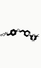 CON=Cc1ccc(OCCC2CCN(c3cncc(Cl)n3)CC2)cc1